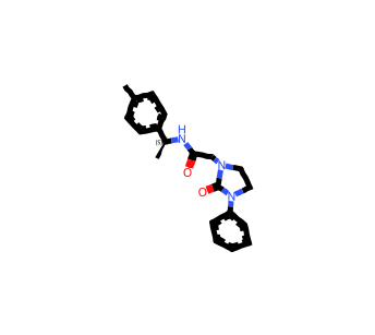 Cc1ccc([C@H](C)NC(=O)CN2CCN(c3ccccc3)C2=O)cc1